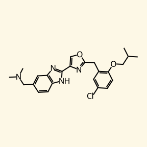 CC(C)COc1ccc(Cl)cc1Cc1nc(-c2nc3cc(CN(C)C)ccc3[nH]2)co1